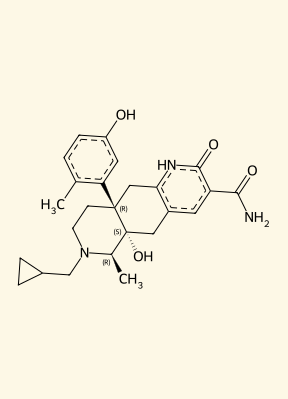 Cc1ccc(O)cc1[C@]12CCN(CC3CC3)[C@H](C)[C@]1(O)Cc1cc(C(N)=O)c(=O)[nH]c1C2